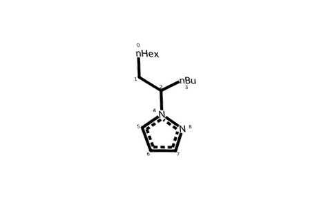 CCCCCCCC(CCCC)n1cccn1